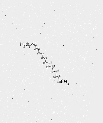 C=C/C=C\C=CC=CCCCCC[CH]CCCCCC